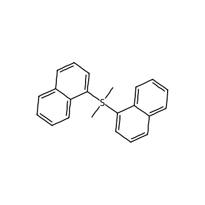 CS(C)(c1cccc2ccccc12)c1cccc2ccccc12